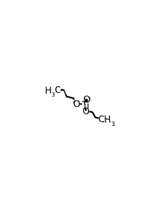 CCCC[O][Ti](=[O])[O]CCC